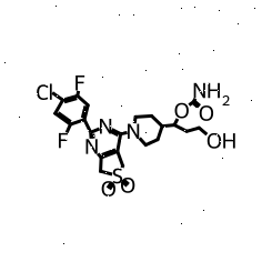 NC(=O)OC(CCO)C1CCN(c2nc(-c3cc(F)c(Cl)cc3F)nc3c2CS(=O)(=O)C3)CC1